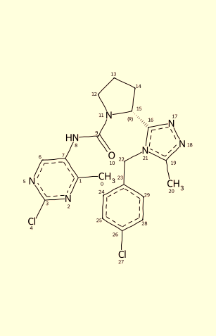 Cc1nc(Cl)ncc1NC(=O)N1CCC[C@@H]1c1nnc(C)n1Cc1ccc(Cl)cc1